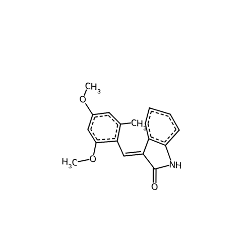 COc1cc(C)c(C=C2C(=O)Nc3ccccc32)c(OC)c1